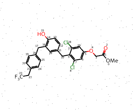 COC(=O)COc1cc(Cl)c(Cc2ccc(O)c(Cc3ccc(CC(F)(F)F)cc3)c2)c(Cl)c1